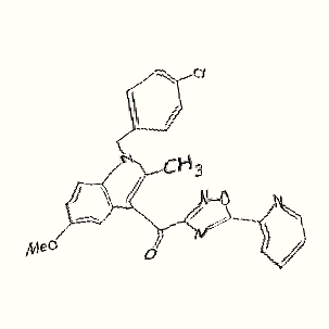 COc1ccc2c(c1)c(C(=O)c1noc(-c3ccccn3)n1)c(C)n2Cc1ccc(Cl)cc1